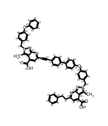 Cc1c2c(C(=O)O)cc(C#Cc3ccc(-c4ccc(Oc5ccc(Cn6nc7nc(CCc8ccccc8)cc(C(=O)O)c7c6C)cc5)cc4)cc3)nc2nn1Cc1ccc(Oc2ccccc2)cc1